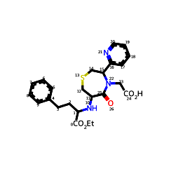 CCOC(=O)C(CCc1ccccc1)NC1CSCC(c2ccccn2)N(CC(=O)O)C1=O